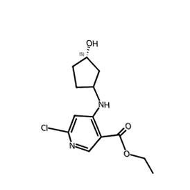 CCOC(=O)c1cnc(Cl)cc1NC1CC[C@H](O)C1